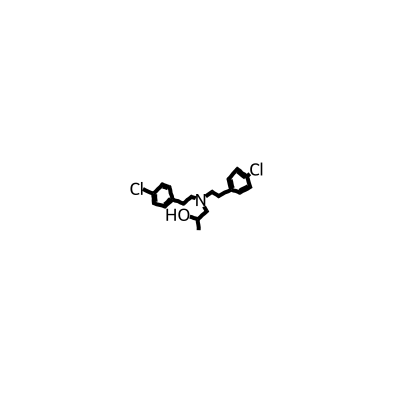 CC(O)CN(CCc1ccc(Cl)cc1)CCc1ccc(Cl)cc1